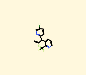 C=CC(c1ccc(Cl)cn1)c1c[c]cnc1C(F)(F)F